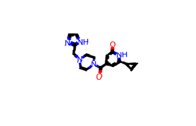 O=C(c1cc(C2CC2)[nH]c(=O)c1)N1CCN(Cc2ncc[nH]2)CC1